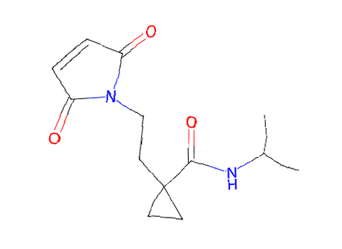 CC(C)NC(=O)C1(CCN2C(=O)C=CC2=O)CC1